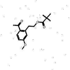 COc1ccc(C(C)=O)c(CCOC(=O)C(C)(C)C)c1